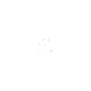 Br.[CaH2].[CsH].[PbH2]